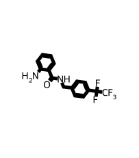 Nc1ccccc1C(=O)NCc1ccc(C(F)(F)C(F)(F)F)cc1